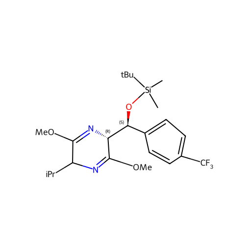 COC1=N[C@H]([C@@H](O[Si](C)(C)C(C)(C)C)c2ccc(C(F)(F)F)cc2)C(OC)=NC1C(C)C